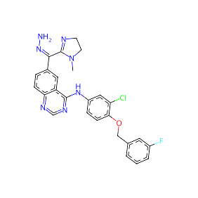 CN1CCN=C1C(=NN)c1ccc2ncnc(Nc3ccc(OCc4cccc(F)c4)c(Cl)c3)c2c1